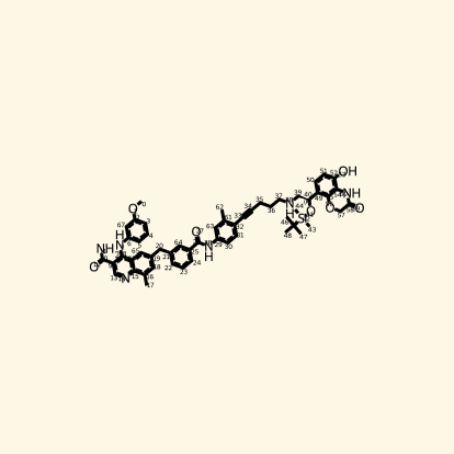 COc1cccc(Nc2c(C(N)=O)cnc3c(C)cc(Cc4cccc(C(=O)Nc5ccc(C#CCCCNC[C@H](O[Si](C)(C)C(C)(C)C)c6ccc(O)c7c6OCC(=O)N7)c(C)c5)c4)cc23)c1